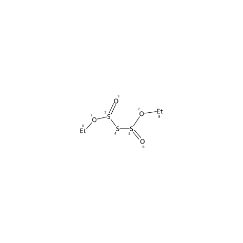 CCOS(=O)SS(=O)OCC